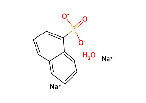 O.O=P([O-])([O-])c1cccc2ccccc12.[Na+].[Na+]